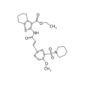 CCOC(=O)c1c(NC(=O)/C=C/c2ccc(OC)c(S(=O)(=O)N3CCCCC3)c2)sc2c1CCCC2